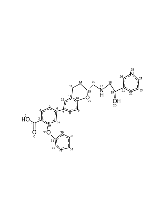 O=C(O)c1ccc(-c2ccc3c(c2)CC[C@H](CNC[C@H](O)c2cccnc2)O3)cc1Oc1ccccc1